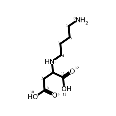 NCCCCNC(CC(=O)O)C(=O)O